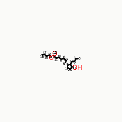 CC/C=C/C1[C@@H](C/C=C\CCCC(=O)OCCCC)CC[C@H]1O